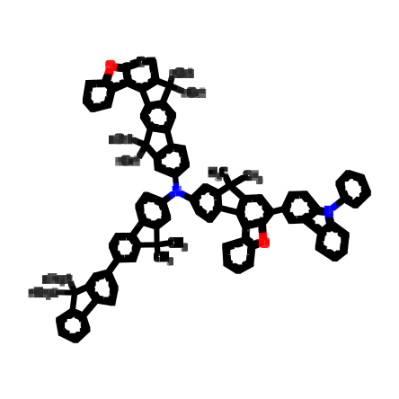 CCCCCCCCC1(CCCCCCCC)c2cc(N(c3ccc4c(c3)C(C)(C)c3cc(-c5ccc6c(c5)C(CCCCCCC)(CCCCCCC)c5ccccc5-6)ccc3-4)c3ccc4c(c3)C(C)(C)c3cc(-c5ccc6c(c5)c5ccccc5n6-c5ccccc5)c5oc6ccccc6c5c3-4)ccc2-c2cc3c(cc21)-c1c(ccc2oc4ccccc4c12)C3(CCCCCCCC)CCCCCCCC